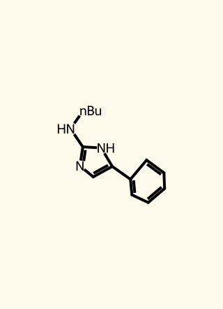 CCCCNc1ncc(-c2ccccc2)[nH]1